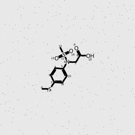 CSc1ccc(N(CC(=O)O)S(C)(=O)=O)cc1